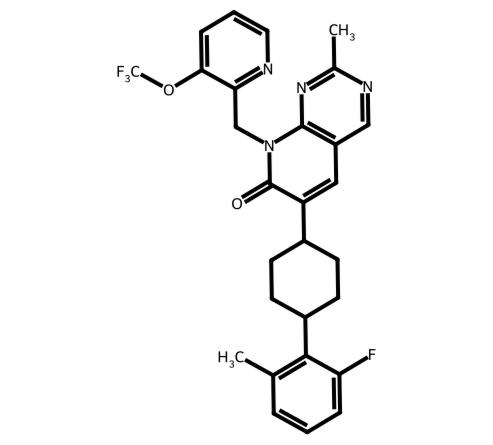 Cc1ncc2cc(C3CCC(c4c(C)cccc4F)CC3)c(=O)n(Cc3ncccc3OC(F)(F)F)c2n1